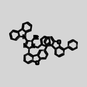 CCC1C(n2c3ccccc3c3ccccc32)=NC(c2cccc3oc4ccc(-c5cccc6oc7c(C8=CCCC=C8)cccc7c56)cc4c23)N1Cc1ccccc1